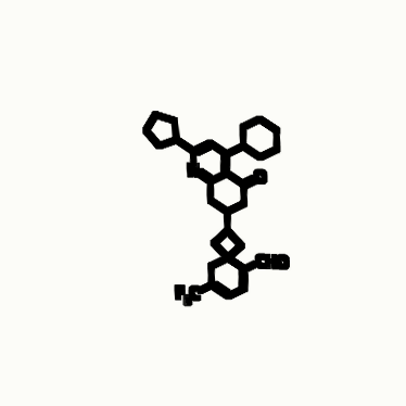 O=CC1=CC=C(C(F)(F)F)CC12CC(C1CC(=O)c3c(C4CCCCC4)cc(C4CCCC4)nc3C1)C2